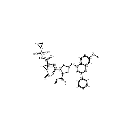 C=CC(=O)N1CC(Oc2cc(-c3ccccc3)nc3cc(OC)ccc23)C[C@H]1C(=O)N[C@]1(C(=O)NS(=O)(=O)C2CC2)C[C@H]1C=C